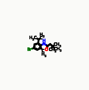 Cc1cc(Br)cc(C(C)C)c1NC(=O)CC(C)(C)C